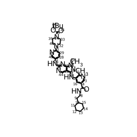 Cc1ncc(C(=O)NCCC2CCCCC2)cc1Nc1nn(C)c2nc(Nc3ccc(N4CCN(C(=O)OC(C)(C)C)CC4)nc3)ncc12